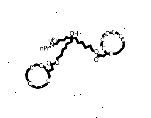 CCCN(CCC)CCCCC(O)(CCCCCCOC(=O)CC1CCCCCCCCCCCCCC1)CCCCCCOC(=O)CC1CCCCCCCCCCCCCC1